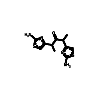 CC(C(=O)C(C)c1csc(N)n1)c1csc(N)n1